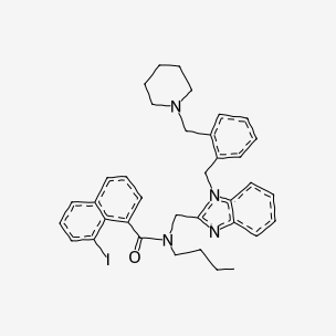 CCCCN(Cc1nc2ccccc2n1Cc1ccccc1CN1CCCCC1)C(=O)c1cccc2cccc(I)c12